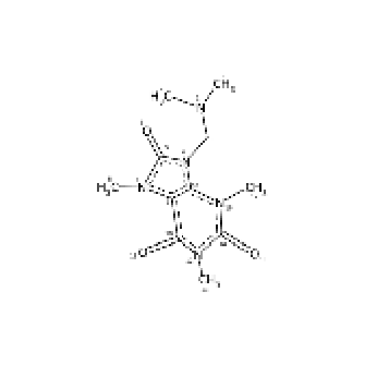 CN(C)Cn1c(=O)n(C)c2c(=O)n(C)c(=O)n(C)c21